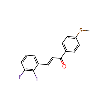 CSc1ccc(C(=O)C=Cc2cccc(I)c2I)cc1